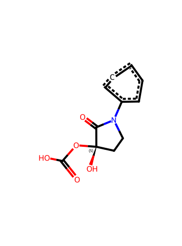 O=C(O)O[C@@]1(O)CCN(c2ccccc2)C1=O